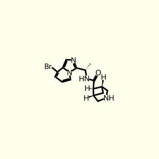 C[C@H](NC(=O)[C@H]1[C@@H]2CNC[C@H]1C2)c1ncc2c(Br)cccn12